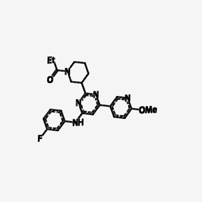 CCC(=O)N1CCCC(c2nc(Nc3cccc(F)c3)cc(-c3ccc(OC)nc3)n2)C1